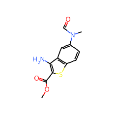 COC(=O)c1sc2ccc(N(C)C=O)cc2c1N